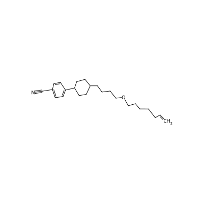 C=CCCCCCOCCCCC1CCC(c2ccc(C#N)cc2)CC1